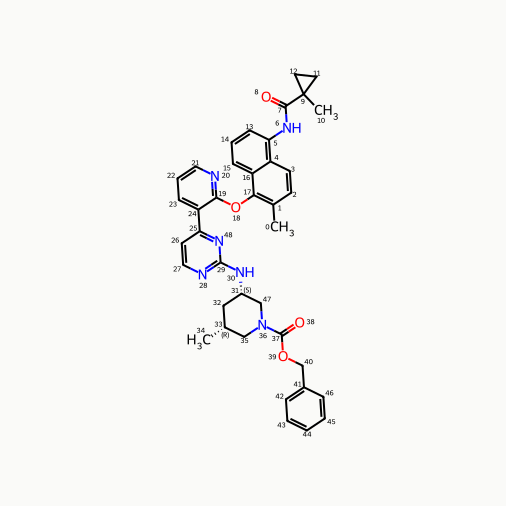 Cc1ccc2c(NC(=O)C3(C)CC3)cccc2c1Oc1ncccc1-c1ccnc(N[C@H]2C[C@@H](C)CN(C(=O)OCc3ccccc3)C2)n1